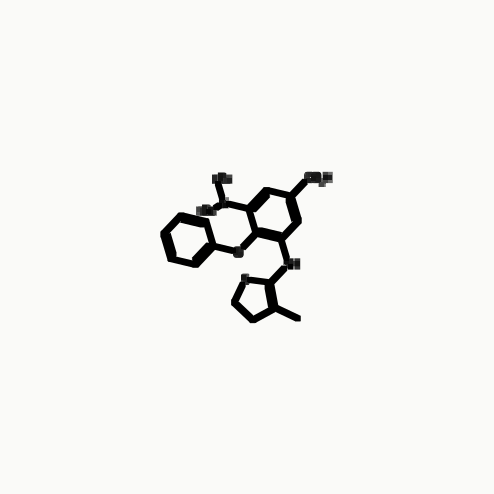 CCCCN(CCCC)c1cc(C(=O)O)cc(NC2=C(C)CCS2)c1Oc1ccccc1